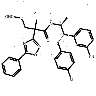 C[C@H](NC(=O)C(C)(COC=O)c1noc(-c2ccccc2)n1)[C@@H](Cc1ccc(Cl)cc1)c1cccc(C#N)c1